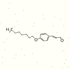 CCCCCCCOc1ccc(/C=C/C=O)cc1